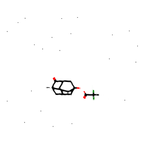 O=C1C2CC3C[C@H]1CC(OC(=O)C(F)(F)S(=O)(=O)O)(C3)C2